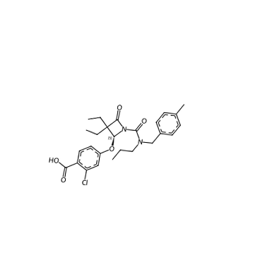 CCCN(Cc1ccc(C)cc1)C(=O)N1C(=O)C(CC)(CC)[C@@H]1Oc1ccc(C(=O)O)c(Cl)c1